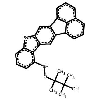 CC(C)(O)C(C)(C)OBc1cccc2sc3cc4c(cc3c12)-c1cccc2cccc-4c12